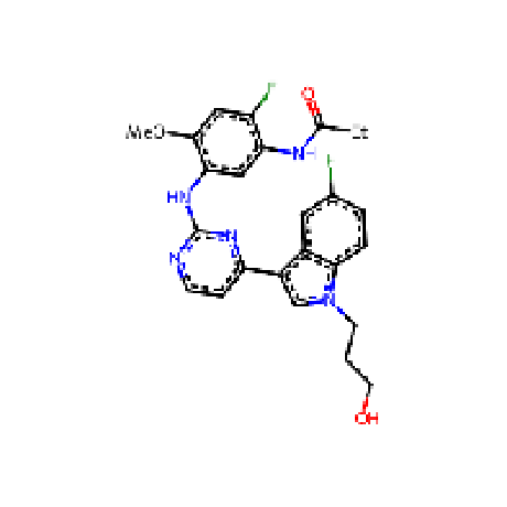 CCC(=O)Nc1cc(Nc2nccc(-c3cn(CCCO)c4ccc(F)cc34)n2)c(OC)cc1F